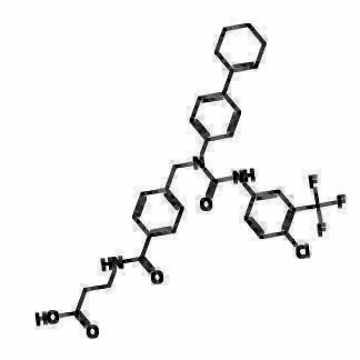 O=C(O)CCNC(=O)c1ccc(CN(C(=O)Nc2ccc(Cl)c(C(F)(F)F)c2)c2ccc(C3=CCCCC3)cc2)cc1